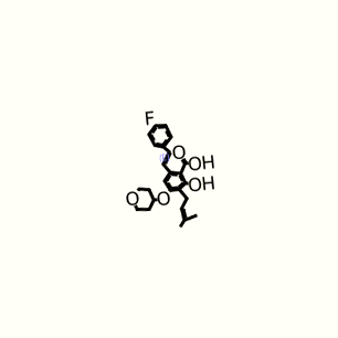 CC(C)=CCc1c(OC2CCOCC2)cc(/C=C/c2ccc(F)cc2)c(C(=O)O)c1O